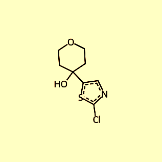 OC1(c2cnc(Cl)s2)CCOCC1